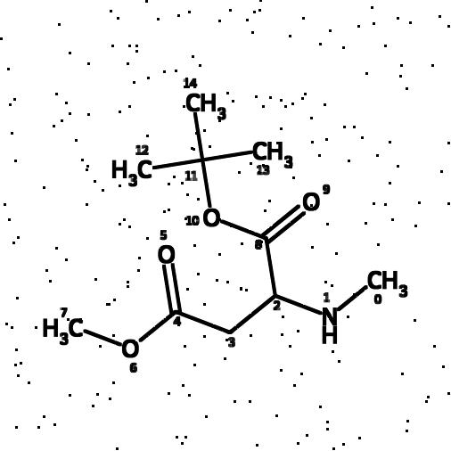 CNC(CC(=O)OC)C(=O)OC(C)(C)C